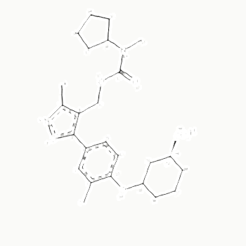 Cc1cc(-c2onc(C)c2COC(=O)N(C)C2CCCC2)ccc1OC1CCC[C@H](C(=O)O)C1